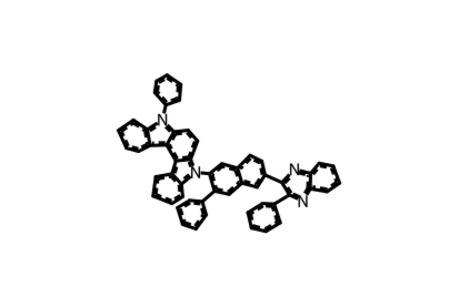 c1ccc(-c2cc3cc(-c4nc5ccccc5nc4-c4ccccc4)ccc3cc2-n2c3ccccc3c3c4c5ccccc5n(-c5ccccc5)c4ccc32)cc1